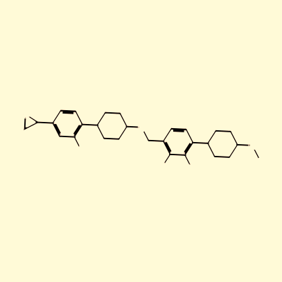 COC1CCC(c2ccc(COC3CCC(c4ccc(C5CO5)cc4F)CC3)c(F)c2F)CC1